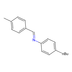 CCCCc1ccc(/N=C/c2ccc(C)cc2)cc1